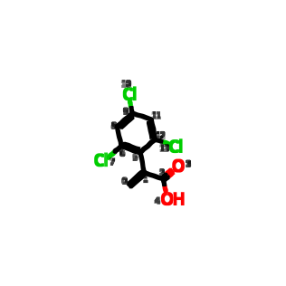 C=C(C(=O)O)c1c(Cl)cc(Cl)cc1Cl